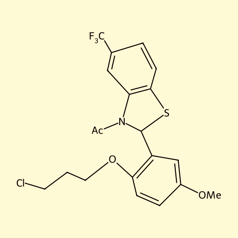 COc1ccc(OCCCCl)c(C2Sc3ccc(C(F)(F)F)cc3N2C(C)=O)c1